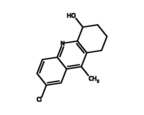 Cc1c2c(nc3ccc(Cl)cc13)C(O)CCC2